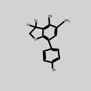 [2H]C1([2H])COc2c(-c3ccc(C(C)C)cc3)cc(N)c(C#N)c21